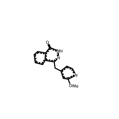 COc1cc(Cc2n[nH]c(=O)c3ccccc23)ccn1